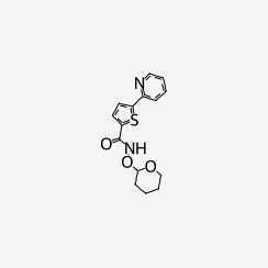 O=C(NOC1CCCCO1)c1ccc(-c2ccccn2)s1